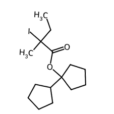 CCC(C)(I)C(=O)OC1(C2CCCC2)CCCC1